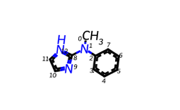 CN(c1[c]cccc1)c1ncc[nH]1